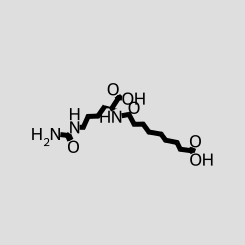 NC(=O)NCCCC[C@H](NC(=O)CCCCCCCC(=O)O)C(=O)O